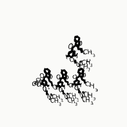 CCCCc1oc2ccccc2c1C(=O)c1cc(I)c(OCCN(CC)CC)c(I)c1.CCCCc1oc2ccccc2c1C(=O)c1cc(I)c(OCCN(CC)CC)c(I)c1.CCCCc1oc2ccccc2c1C(=O)c1cc(I)c(OCCN(CC)CC)c(I)c1.CCCCc1oc2ccccc2c1C(=O)c1cc(I)c(OCCN(CC)CC)c(I)c1.C[S+](C)[O-]